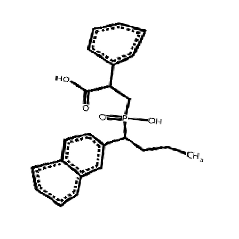 CCCC(c1ccc2ccccc2c1)P(=O)(O)CC(C(=O)O)c1ccccc1